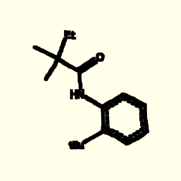 CCC(C)(C)C(=O)Nc1ccccc1C(C)(C)C